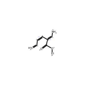 C=C/C=C\C(=C/N)C(=O)OCC